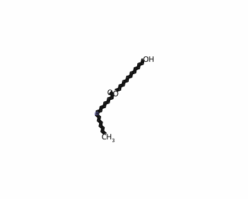 CCCCCCCC/C=C\CCCCCCCC(=O)OCCCCCCCCCCCCCCCO